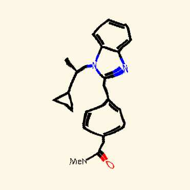 CNC(=O)c1ccc(-c2nc3ccccc3n2[C@H](C)C2CC2)cc1